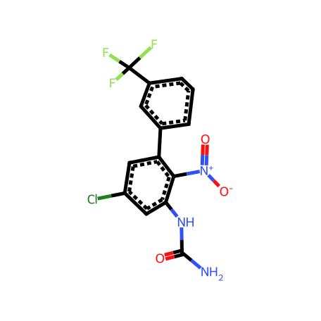 NC(=O)Nc1cc(Cl)cc(-c2cccc(C(F)(F)F)c2)c1[N+](=O)[O-]